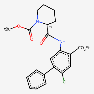 CCOC(=O)c1cc(Cl)c(-c2ccccc2)cc1NC(=O)[C@H]1CCCCN1C(=O)OC(C)(C)C